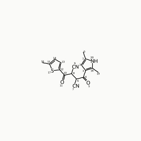 Cc1cc(C(=O)C(C#N)C(C#N)C(=O)c2ccc(C)s2)c(C)[nH]1